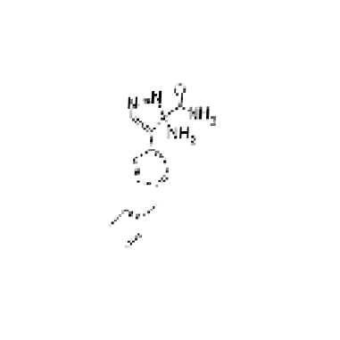 NC(=O)C1(N)N=NC=C1c1ccc(Cc2ccccc2)cc1